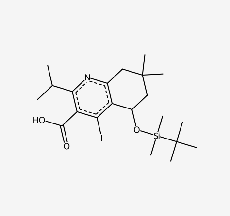 CC(C)c1nc2c(c(I)c1C(=O)O)C(O[Si](C)(C)C(C)(C)C)CC(C)(C)C2